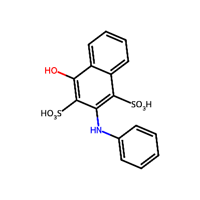 O=S(=O)(O)c1c(Nc2ccccc2)c(S(=O)(=O)O)c2ccccc2c1O